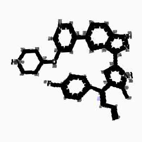 C=C/C=C(/c1ccc(F)cc1)c1cc(-c2n[nH]c3ccc(-c4cncc(OC5CCNCC5)c4)cc23)[nH]c1C